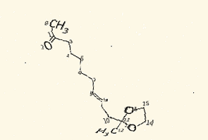 CC(=O)CCCCCC=CCC1(C)OCCO1